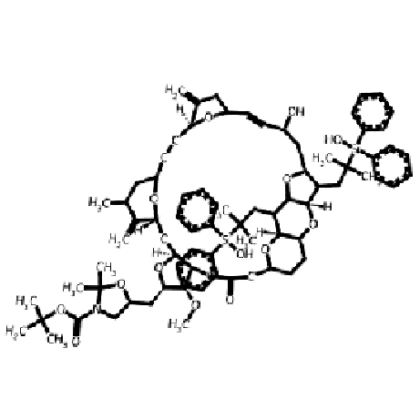 C=C1CC2/C=C/C(O)CC3OC4C(CC(C)(C)[Si](O)(c5ccccc5)c5ccccc5)[C@H]5OC(CCC5O[C@H]4C3CC(C)(C)[Si](O)(c3ccccc3)c3ccccc3)CC(=O)CC3[C@H](C[C@H]4OC(CC[C@@H]1O2)CC(C)C4=C)O[C@H](CC1CN(C(=O)OC(C)(C)C)C(C)(C)O1)[C@@H]3OC